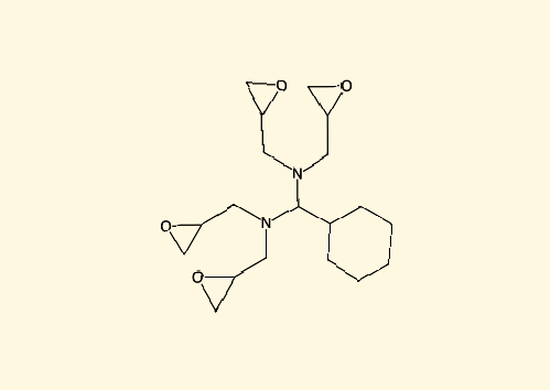 C1CCC(C(N(CC2CO2)CC2CO2)N(CC2CO2)CC2CO2)CC1